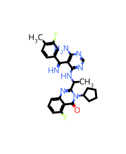 Cc1ccc(C(=N)c2c(N)ncnc2NC(C)c2nc3cccc(F)c3c(=O)n2C2CCCC2)cc1F